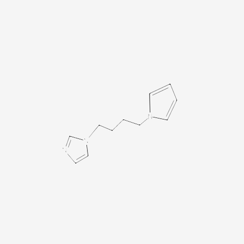 c1ccn(CCCCn2ccnc2)c1